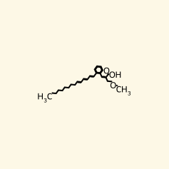 CCCCCCCCCC=CC=CC=Cc1ccccc1C=C(CCOCC)C(=O)O